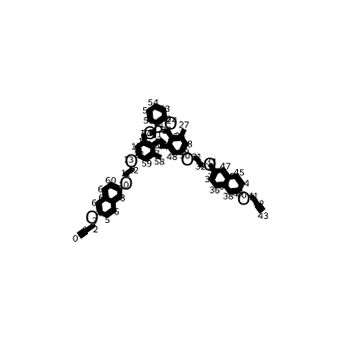 C#CCOc1ccc2cc(OCCOc3cc(C)c(C(=C)P(=O)(C(=O)c4c(C)cc(OCCOc5ccc6cc(OCC#C)ccc6c5)cc4C)c4ccccc4)c(C)c3)ccc2c1